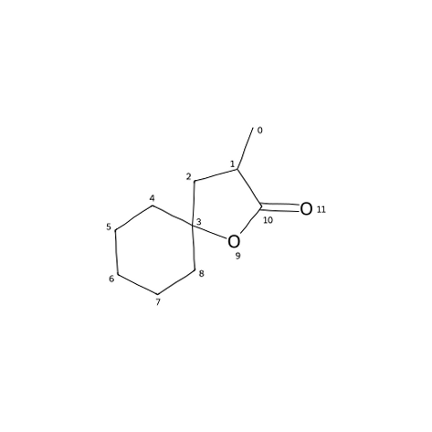 CC1CC2(CCCCC2)OC1=O